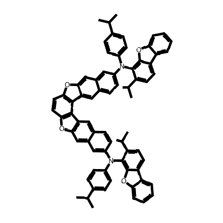 CC(C)c1ccc(N(c2ccc3cc4c(cc3c2)oc2ccc3oc5cc6cc(N(c7ccc(C(C)C)cc7)c7c(C(C)C)ccc8c7oc7ccccc78)ccc6cc5c3c24)c2c(C(C)C)ccc3c2oc2ccccc23)cc1